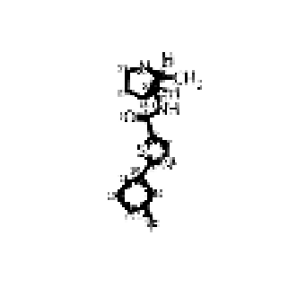 C[C@H]1[C@H](NC(=O)c2cnc(-c3cccc(F)c3)s2)C2CCN1CC2